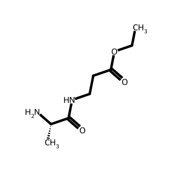 CCOC(=O)CCNC(=O)[C@H](C)N